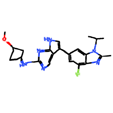 CO[C@H]1C[C@@H](Nc2ncc3c(-c4cc(F)c5nc(C)n(C(C)C)c5c4)c[nH]c3n2)C1